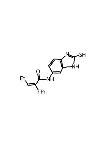 CC/C=C(/CCC)C(=O)Nc1ccc2nc(S)[nH]c2c1